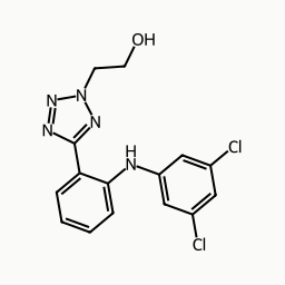 OCCn1nnc(-c2ccccc2Nc2cc(Cl)cc(Cl)c2)n1